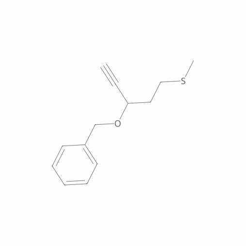 C#CC(CCSC)OCc1ccccc1